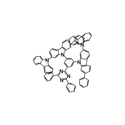 c1ccc(-c2ccc3c4ccc(-n5c6ccccc6c6ccccc65)cc4n(-c4cc(-c5nc(-c6ccccc6)nc(-c6ccccc6)n5)cc(-n5c6cc(-c7ccccc7)ccc6c6ccc(-n7c8ccccc8c8ccccc87)cc65)c4)c3c2)cc1